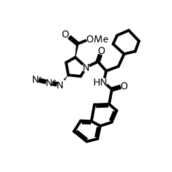 COC(=O)[C@@H]1C[C@@H](N=[N+]=[N-])CN1C(=O)C(CC1CCCCC1)NC(=O)c1ccc2ccccc2c1